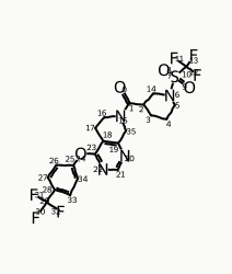 O=C(C1CCCN(S(=O)(=O)C(F)(F)F)C1)N1CCc2c(ncnc2Oc2ccc(C(F)(F)F)cc2)C1